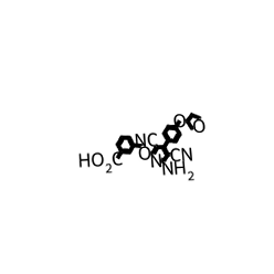 N#Cc1c(N)nc(OCc2cccc(C(=O)O)c2)c(C#N)c1-c1ccc(OC2CCOC2)cc1